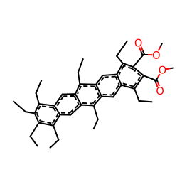 CCc1c(CC)c(CC)c2cc3c(CC)c4cc5c(CC)c(C(=O)OC)c(C(=O)OC)c(CC)c5cc4c(CC)c3cc2c1CC